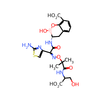 CC(C)(O/N=C(\C(=O)N[C@H]1Cc2cccc(C(=O)O)c2OB1O)c1csc(N)n1)C(=O)NC(CO)C(=O)O